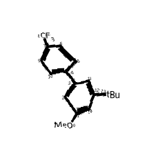 COc1cc(-c2ccc(C(F)(F)F)cc2)cc(C(C)(C)C)c1